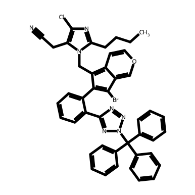 CCCCc1nc(Cl)c(CC#N)n1Cc1c2ccocc-2c(Br)c1-c1ccccc1-c1nnn(C(c2ccccc2)(c2ccccc2)c2ccccc2)n1